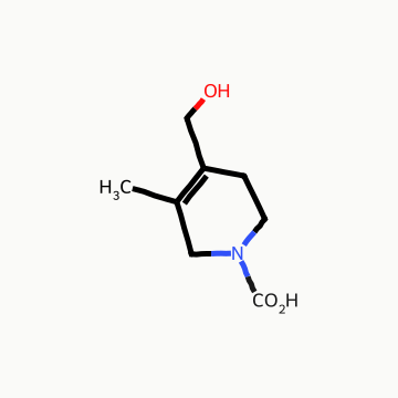 CC1=C(CO)CCN(C(=O)O)C1